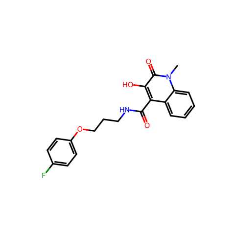 Cn1c(=O)c(O)c(C(=O)NCCCOc2ccc(F)cc2)c2ccccc21